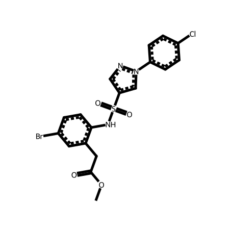 COC(=O)Cc1cc(Br)ccc1NS(=O)(=O)c1cnn(-c2ccc(Cl)cc2)c1